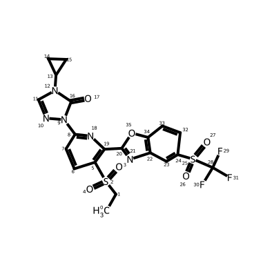 CCS(=O)(=O)c1ccc(-n2ncn(C3CC3)c2=O)nc1-c1nc2cc(S(=O)(=O)C(F)(F)F)ccc2o1